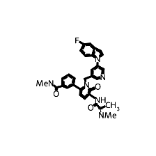 CNC(=O)c1cccc(-c2ccc(NC(=O)[C@H](C)NC)c(=O)n2Cc2cncc(-n3ccc4cc(F)ccc43)c2)c1